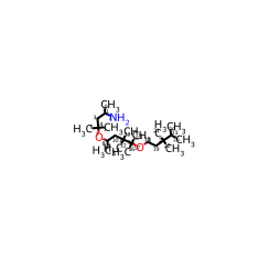 CC(N)CC(C)(C)OC(C)CC(C)(C)C(C)(C)OCCC(C)(C)C(C)C